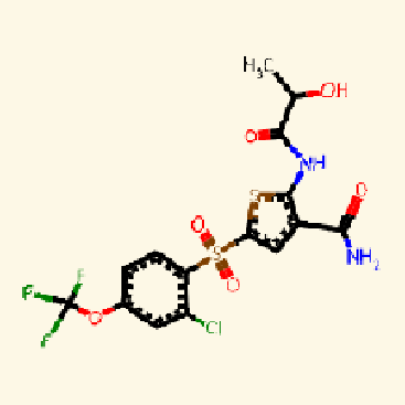 CC(O)C(=O)Nc1sc(S(=O)(=O)c2ccc(OC(F)(F)F)cc2Cl)cc1C(N)=O